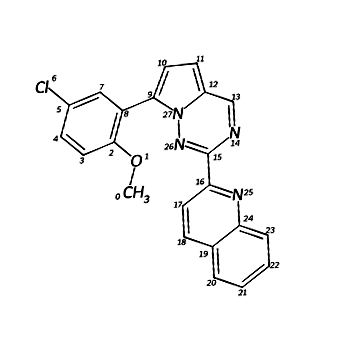 COc1ccc(Cl)cc1-c1ccc2cnc(-c3ccc4ccccc4n3)nn12